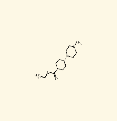 CCOC(=O)[C@H]1CC[C@H](N2CCN(C)CC2)CC1